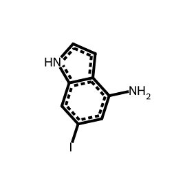 Nc1cc(I)cc2[nH]ccc12